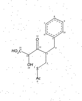 CC(=O)SCC(Cc1ccccc1)C(=O)C(O)C(=O)O